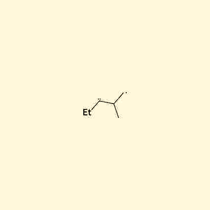 [CH2]C(C)[C]CC